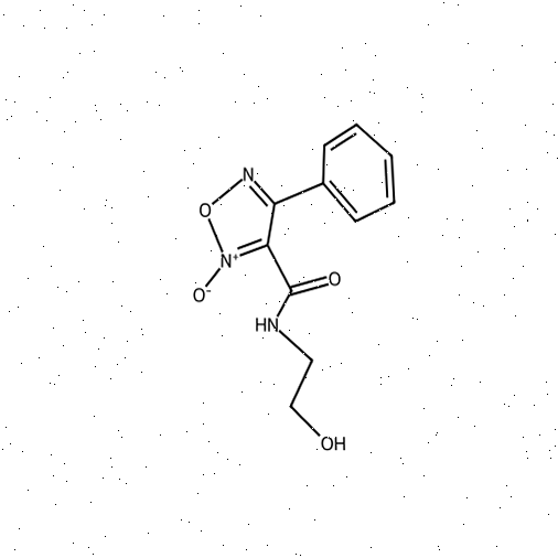 O=C(NCCO)c1c(-c2ccccc2)no[n+]1[O-]